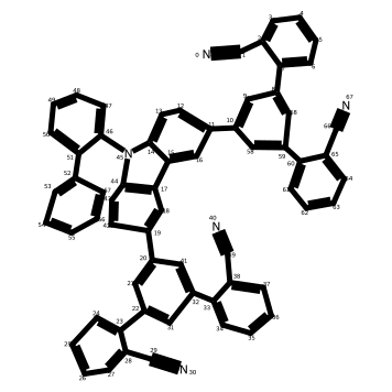 N#Cc1ccccc1-c1cc(-c2ccc3c(c2)c2cc(-c4cc(-c5ccccc5C#N)cc(-c5ccccc5C#N)c4)ccc2n3-c2ccccc2-c2ccccc2)cc(-c2ccccc2C#N)c1